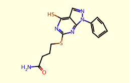 NC(=O)CCCSc1nc(S)c2cnn(-c3ccccc3)c2n1